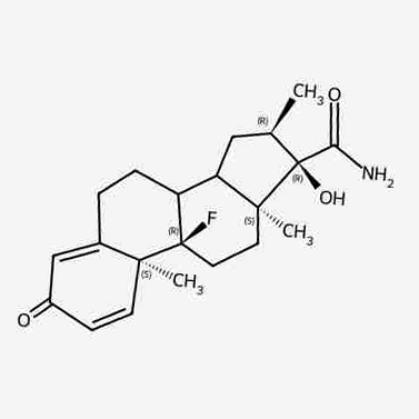 C[C@@H]1CC2C3CCC4=CC(=O)C=C[C@]4(C)[C@@]3(F)CC[C@]2(C)[C@@]1(O)C(N)=O